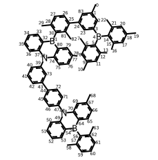 Cc1cc(B(c2c(C)cc(C)cc2C)c2c(C)cc(C)cc2C)cc(-c2ccc(C)c(B3c4ccccc4N(c4cccc(-c5ccc(N6c7ccccc7B(c7c(C)cccc7C)c7ccc(C)cc76)cc5)c4)c4ccc(C)cc43)c2C)c1